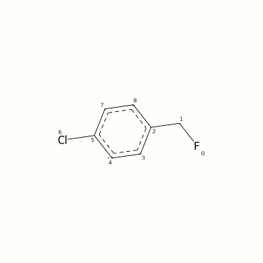 FCc1c[c]c(Cl)cc1